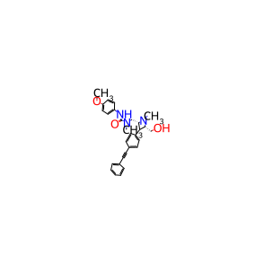 COc1ccc(NC(=O)N(C)C[C@H]2C(c3ccc(C#Cc4ccccc4)cc3)[C@@H](CO)N2C)cc1